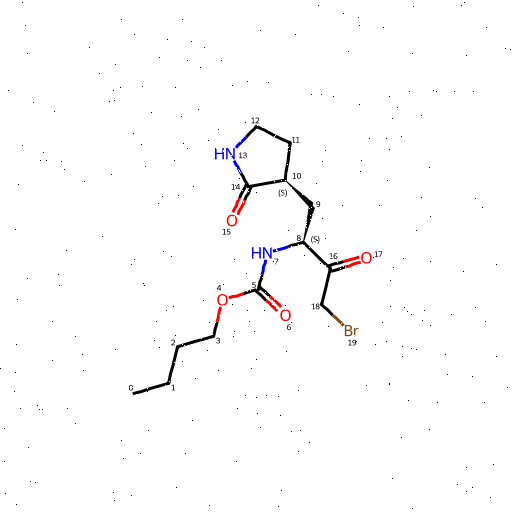 CCCCOC(=O)N[C@@H](C[C@@H]1CCNC1=O)C(=O)CBr